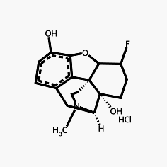 CN1CC[C@]23c4c5ccc(O)c4OC2C(F)CC[C@@]3(O)[C@H]1C5.Cl